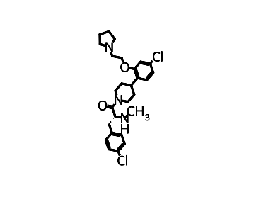 CN[C@H](Cc1ccc(Cl)cc1)C(=O)N1CCC(c2ccc(Cl)cc2OCCN2CCCC2)CC1